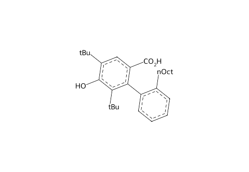 CCCCCCCCc1ccccc1-c1c(C(=O)O)cc(C(C)(C)C)c(O)c1C(C)(C)C